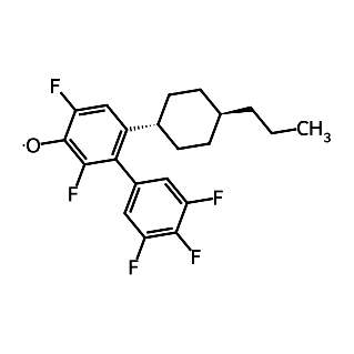 CCC[C@H]1CC[C@H](c2cc(F)c([O])c(F)c2-c2cc(F)c(F)c(F)c2)CC1